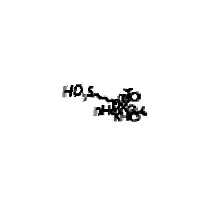 C=C(C)C(=O)OCC(CCCCCC)(COC(=O)C(=C)C)C(=O)OCCCCCCS(=O)(=O)O.[KH]